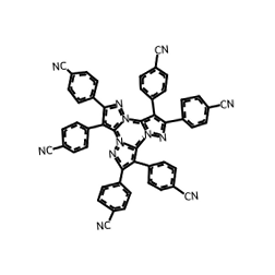 N#Cc1ccc(-c2nn3c(c2-c2ccc(C#N)cc2)n2nc(-c4ccc(C#N)cc4)c(-c4ccc(C#N)cc4)c2n2nc(-c4ccc(C#N)cc4)c(-c4ccc(C#N)cc4)c32)cc1